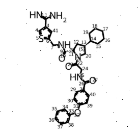 N=C(N)c1csc(CNC(=O)[C@@H]2C[C@@H](C3CCCCC3)CN2C(=O)CNC(=O)c2ccc(Oc3ccccc3)cc2)c1